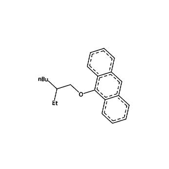 CCCCC(CC)COc1c2ccccc2cc2ccccc12